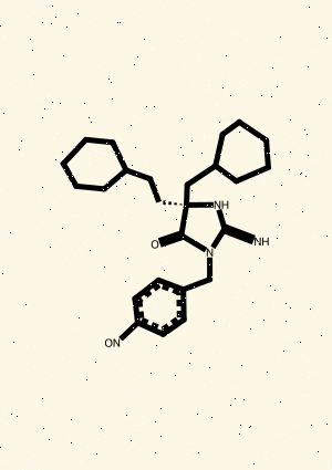 N=C1N[C@](CCC2CCCCC2)(CC2CCCCC2)C(=O)N1Cc1ccc(N=O)cc1